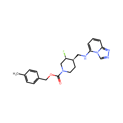 Cc1ccc(COC(=O)N2CC[C@H](CNc3cccc4nncn34)[C@H](F)C2)cc1